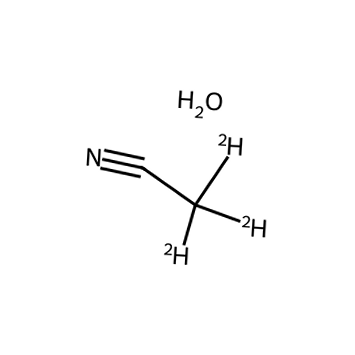 O.[2H]C([2H])([2H])C#N